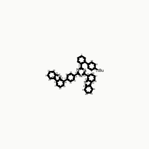 CC(C)(C)c1ccc(-c2ccccc2-c2nc(-c3ccc(-c4cccc5c4sc4ccccc45)cc3)nc(-c3cccc4c3sc3ccccc34)n2)cc1